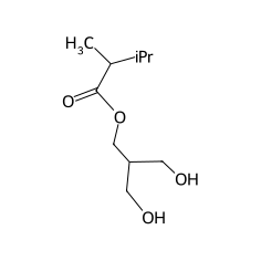 CC(C)C(C)C(=O)OCC(CO)CO